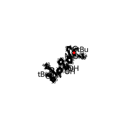 CC(C)(C)OC(=O)N1CCCC1c1nc2cc([C@H]3[C@@H](O)[C@H](O)[C@H](c4ccc5c(c4)nc([C@@H]4CCCN4C(=O)OC(C)(C)C)n5COCC[Si](C)(C)C)N3c3ccccc3)ccc2n1COCC[Si](C)(C)C